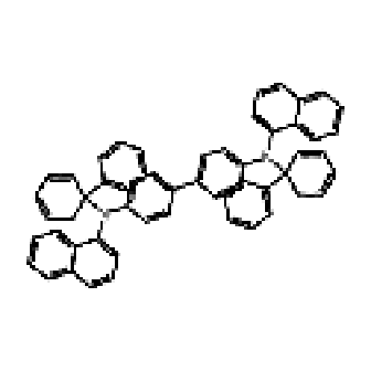 C1=CCC(c2ccccc2)(N(c2ccc(-c3ccc(N(c4cccc5ccccc45)C4(c5ccccc5)C=CC=CC4)cc3)cc2)c2cccc3ccccc23)C=C1